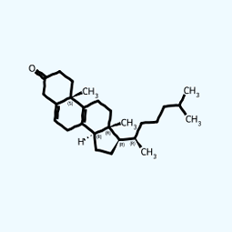 CC(C)CCC[C@@H](C)[C@H]1CC[C@H]2C3=C(CC[C@]12C)[C@@]1(C)CCC(=O)CC1=CC3